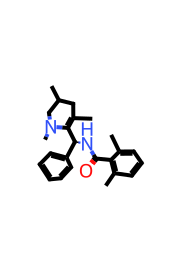 CC1=C([C@H](NC(=O)c2c(C)cccc2C)c2ccccc2)N(C)CC(C)C1